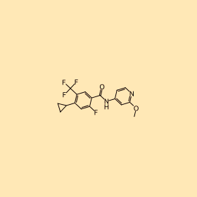 COc1cc(NC(=O)c2cc(C(F)(F)F)c(C3CC3)cc2F)ccn1